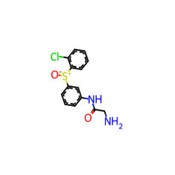 NCC(=O)Nc1cccc([S+]([O-])c2ccccc2Cl)c1